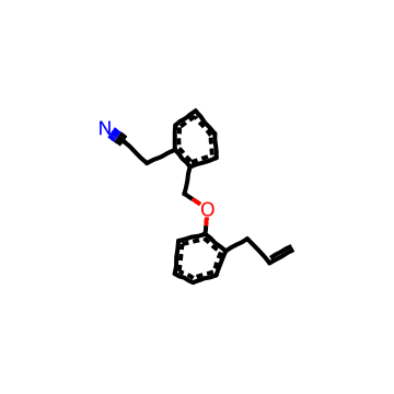 C=CCc1ccccc1OCc1ccccc1CC#N